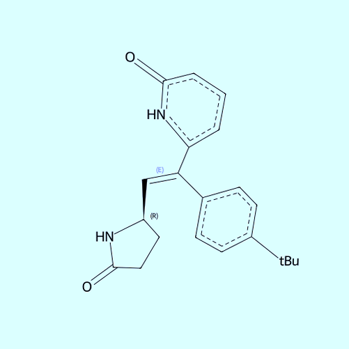 CC(C)(C)c1ccc(/C(=C\[C@H]2CCC(=O)N2)c2cccc(=O)[nH]2)cc1